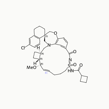 CO[C@H]1/C=C/CCCS(=O)(NC(=O)C2CCC2)=NC(=O)c2ccc3c(c2)N(C[C@@H]2CC[C@H]21)C[C@@]1(CCCc2cc(Cl)ccc21)CO3